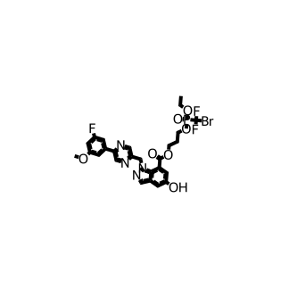 CCOP(=O)(OCCCOC(=O)c1cc(O)cc2cnn(Cc3cnc(-c4cc(F)cc(OC)c4)cn3)c12)C(F)(F)Br